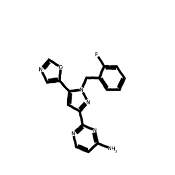 Nc1ccnc(-c2cc(-c3cnco3)n(Cc3ccccc3F)n2)n1